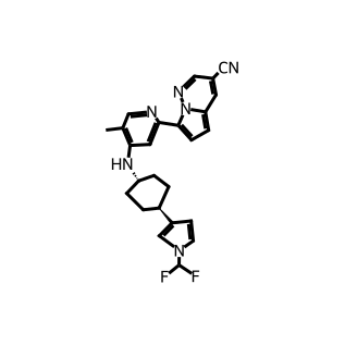 Cc1cnc(-c2ccc3cc(C#N)cnn23)cc1N[C@H]1CC[C@H](c2ccn(C(F)F)c2)CC1